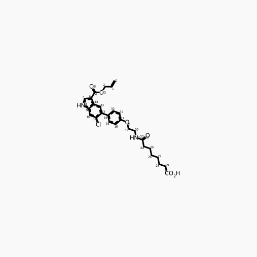 C=CCOC(=O)c1c[nH]c2cc(Cl)c(-c3ccc(OCCNC(=O)CCCCCCC(=O)O)cc3)cc12